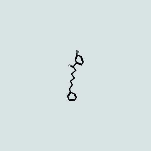 O=C(CCCCCCc1ccccc1)c1cccc(Br)c1